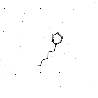 CCCCCCc1[c]nncc1